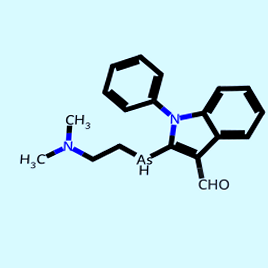 CN(C)CC[AsH]c1c(C=O)c2ccccc2n1-c1ccccc1